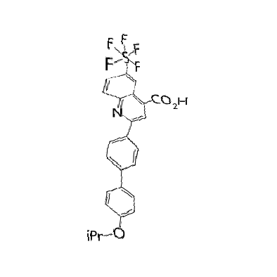 CC(C)Oc1ccc(-c2ccc(-c3cc(C(=O)O)c4cc(S(F)(F)(F)(F)F)ccc4n3)cc2)cc1